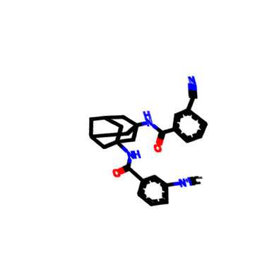 [C-]#[N+]c1cccc(C(=O)NC23CC4CC(CC(NC(=O)c5cccc(C#N)c5)(C4)C2)C3)c1